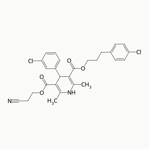 CC1=C(C(=O)OCCC#N)C(c2cccc(Cl)c2)C(C(=O)OCCCc2ccc(Cl)cc2)=C(C)N1